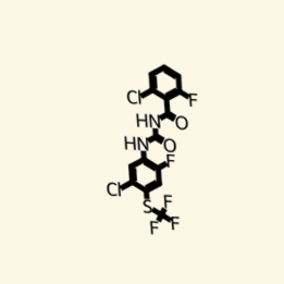 O=C(NC(=O)c1c(F)cccc1Cl)Nc1cc(Cl)c(SC(F)(F)F)cc1F